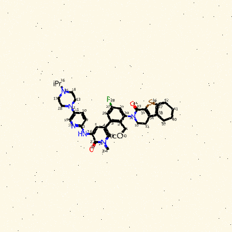 CC(=O)OCc1c(-c2cc(Nc3ccc(N4CCN(C(C)C)CC4)cn3)c(=O)n(C)c2)cc(F)cc1N1CCc2c(sc3c2CCCC3)C1=O